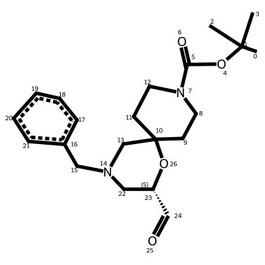 CC(C)(C)OC(=O)N1CCC2(CC1)CN(Cc1ccccc1)C[C@@H](C=O)O2